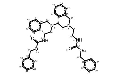 O=C(NCCN(CCN(CCNC(=O)OCc1ccccc1)Cc1ccccc1)Cc1ccccc1)OCc1ccccc1